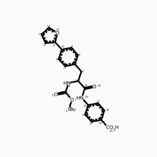 CC(C)(C)OC(=O)NC(Cc1ccc(-c2ccco2)cc1)C(=O)Nc1ccc(C(=O)O)cc1